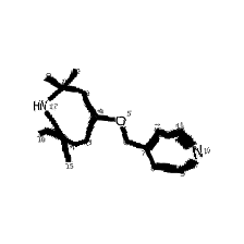 CC1(C)CC(OCc2ccncc2)CC(C)(C)N1